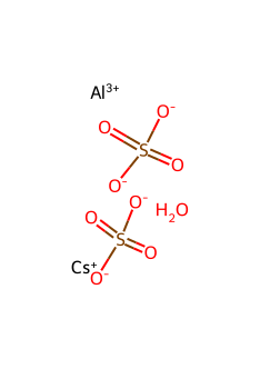 O.O=S(=O)([O-])[O-].O=S(=O)([O-])[O-].[Al+3].[Cs+]